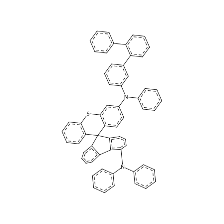 c1ccc(-c2ccccc2-c2cccc(N(c3ccccc3)c3ccc4c(c3)Sc3ccccc3C43c4ccccc4-c4c(N(c5ccccc5)c5ccccc5)cccc43)c2)cc1